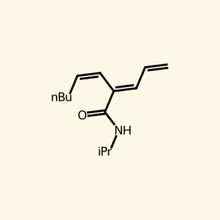 C=C/C=C(\C=C/CCCC)C(=O)NC(C)C